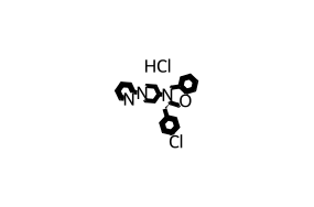 Cl.Clc1ccc(C[C@H]2COc3ccccc3CN2C2CCN(c3ccccn3)CC2)cc1